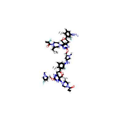 C=CC(=O)N1CCN(c2nc(OC[C@@H]3C[C@@H](F)CN3C)nc3c2COC(c2c(F)c(NC4C[C@@H](COc5nc6c(c(N7CCN(C(=O)C(=C)F)C(CC#N)C7)n5)COC(c5c(F)c(N)cc(C)c5C(F)(F)F)C6)N(C)C4)cc(C)c2C(F)(F)F)C3)[C@@H](C)C1